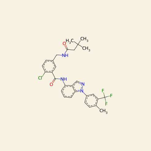 Cc1ccc(-n2ncc3c(NC(=O)c4cc(CNC(=O)CC(C)(C)C)ccc4Cl)cccc32)cc1C(F)(F)F